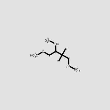 CC(C)(CO[N+](=O)[O-])C(COC(=O)O)O[N+](=O)[O-]